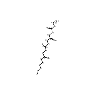 CCCCCCC(=O)CCC(=O)CCC(=O)CCC(=O)CCO